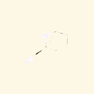 N#C[C@H]1NC2CCC1C2